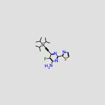 CC(C)[Si](C#Cc1nc(-c2nccs2)nc(N)c1F)(C(C)C)C(C)C